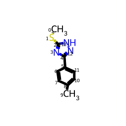 CSc1nc(-c2ccc(C)cc2)n[nH]1